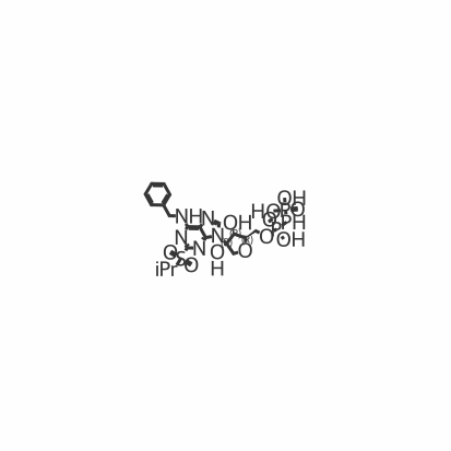 CC(C)S(=O)(=O)c1nc(NCc2ccccc2)c2ncn([C@@]3(O)CO[C@H](COP(=O)(O)PP(=O)(O)O)[C@H]3O)c2n1